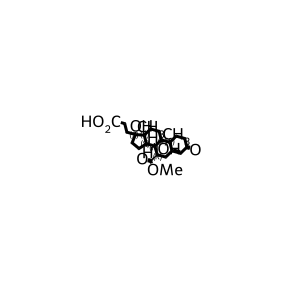 COC(=O)[C@@H]1CC2=CC(=O)CC[C@]2(C)[C@@]2(O)CC[C@@]3(C)[C@@H](CC[C@]3(O)CCC(=O)O)[C@H]12